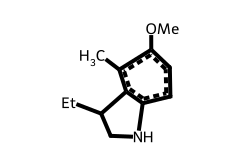 CCC1CNc2ccc(OC)c(C)c21